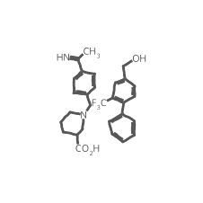 CC(=N)c1ccc(CN2CCCC(C(=O)O)C2)cc1.OCc1ccc(-c2ccccc2)c(C(F)(F)F)c1